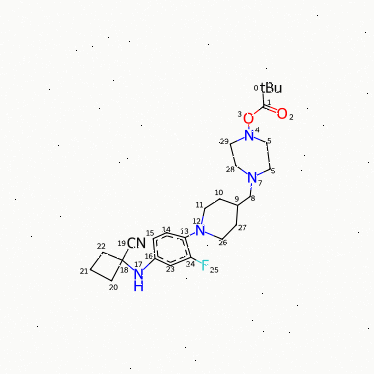 CC(C)(C)C(=O)ON1CCN(CC2CCN(c3ccc(NC4(C#N)CCC4)cc3F)CC2)CC1